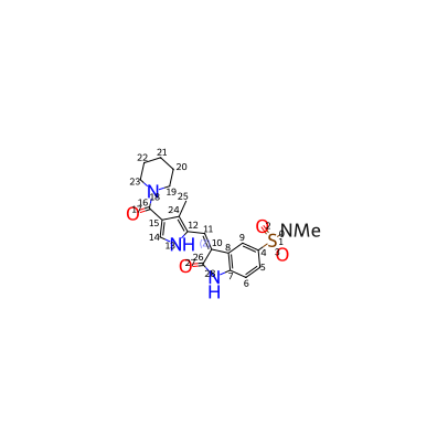 CNS(=O)(=O)c1ccc2c(c1)/C(=C/c1[nH]cc(C(=O)N3CCCCC3)c1C)C(=O)N2